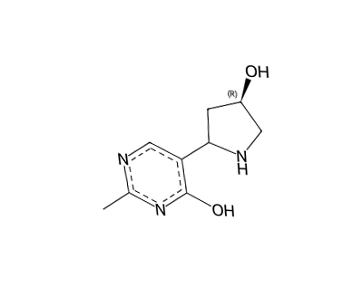 Cc1ncc(C2C[C@@H](O)CN2)c(O)n1